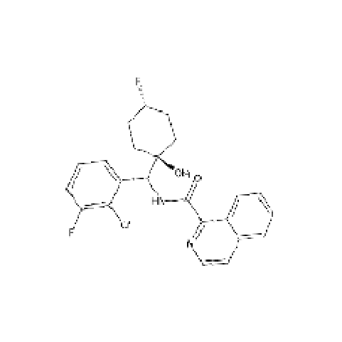 O=C(NC(c1cccc(F)c1Cl)[C@]1(O)CC[C@H](F)CC1)c1nccc2ccccc12